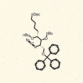 CCCCCCCCCCCCCC[C@@H](OCCCC)[C@@H](OCCCC)[C@H](COC(c1ccccc1)(c1ccccc1)c1ccccc1)N=[N+]=[N-]